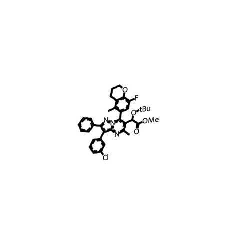 COC(=O)C(OC(C)(C)C)c1c(C)nc2c(-c3cccc(Cl)c3)c(-c3ccccc3)nn2c1-c1cc(F)c2c(c1C)CCCO2